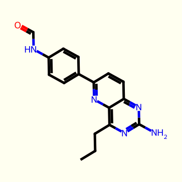 CCCc1nc(N)nc2ccc(-c3ccc(NC=O)cc3)nc12